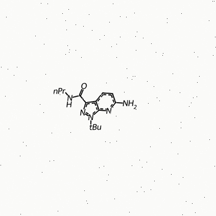 CCCNC(=O)c1nn(C(C)(C)C)c2nc(N)ccc12